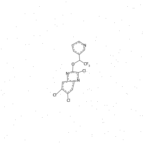 FC(F)(F)C(Oc1nc2cc(Cl)c(Cl)cc2nc1Cl)c1cccnc1